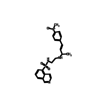 CC(C=Cc1ccc([S+](C)[O-])cc1)NCCNS(=O)(=O)c1cccc2cnccc12